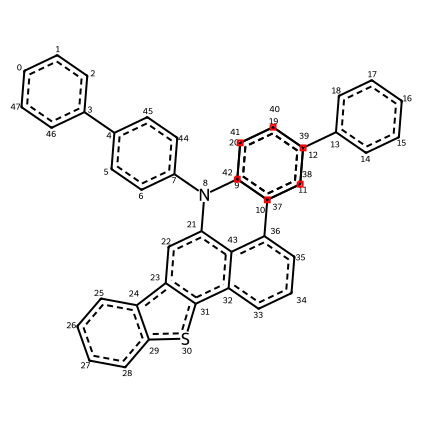 c1ccc(-c2ccc(N(c3ccc(-c4ccccc4)cc3)c3cc4c5ccccc5sc4c4cccc(-c5ccccc5)c34)cc2)cc1